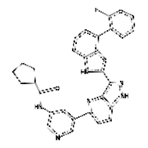 O=C(Nc1cncc(-c2ccc3[nH]nc(-c4cc5c(-c6ccccc6F)cccc5[nH]4)c3n2)c1)C1CCCC1